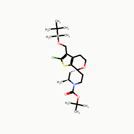 C[C@H]1C[C@@]2(CCN1C(=O)OC(C)(C)C)OCCc1c2sc(Cl)c1CO[Si](C)(C)C(C)(C)C